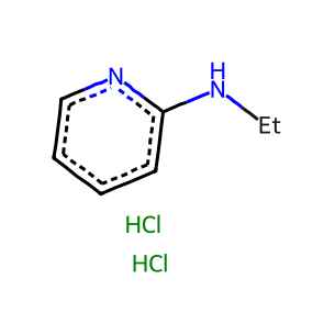 CCNc1ccccn1.Cl.Cl